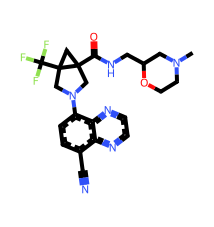 CN1CCOC(CNC(=O)C23CN(c4ccc(C#N)c5nccnc45)CC2(C(F)(F)F)C3)C1